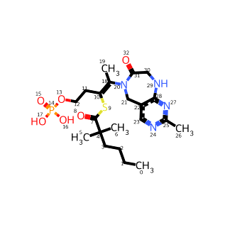 CCCCC(C)(C)C(=O)S/C(CCOP(=O)(O)O)=C(/C)N1Cc2cnc(C)nc2NCC1=O